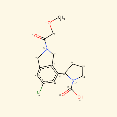 COCC(=O)N1Cc2cc(Cl)cc(C3CCCN3C(=O)O)c2C1